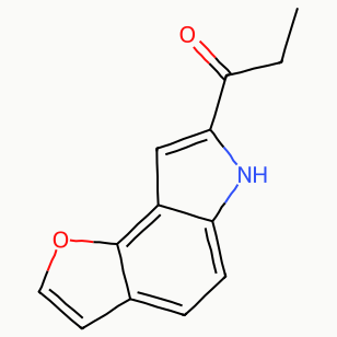 CCC(=O)c1cc2c(ccc3ccoc32)[nH]1